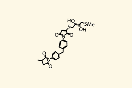 CSC[C@H](O)[C@H](O)CSC1=CC(=O)N(c2ccc(Cc3ccc(N4C(=O)CC(C)C4=O)cc3)cc2)C1=O